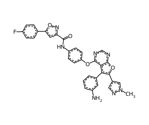 Cn1cc(-c2oc3ncnc(Oc4ccc(NC(=O)c5cc(-c6ccc(F)cc6)on5)cc4)c3c2-c2cccc(N)c2)cn1